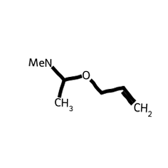 C=CCOC(C)NC